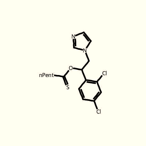 CCCCCC(=S)OC(Cn1ccnc1)c1ccc(Cl)cc1Cl